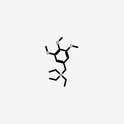 CC[N+](CC)(CC)Cc1cc(OC)c(OC)c(OC)c1